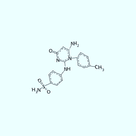 Cc1ccc(-n2c(N)cc(=O)nc2Nc2ccc(S(N)(=O)=O)cc2)cc1